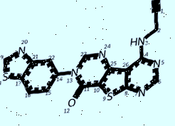 C#CCNc1ncnc2sc3c(=O)n(-c4ccc5scnc5c4)cnc3c12